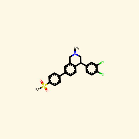 CN1Cc2cc(-c3ccc(S(C)(=O)=O)cc3)ccc2C(c2ccc(Cl)c(Cl)c2)C1